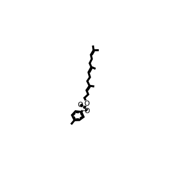 CC(C)=CCC/C(C)=C/CC/C(C)=C/CCOS(=O)(=O)c1ccc(C)cc1